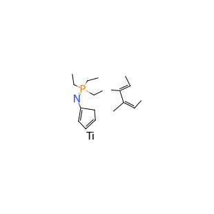 CC=C(C)C(C)=CC.CCP(CC)(CC)=NC1=CC=CC1.[Ti]